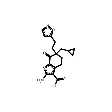 Nc1sc2c(c1C(=O)O)CCC(CCc1ccno1)(CC1CC1)C2=O